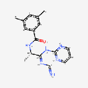 Cc1cc(C)cc(C(=O)N[C@@H](C)/C(=N/C=N)Nc2ncccn2)c1